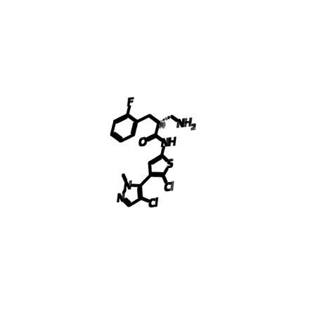 Cn1ncc(Cl)c1-c1cc(NC(=O)[C@@H](CN)Cc2ccccc2F)sc1Cl